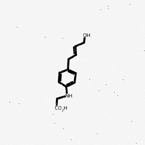 O=C(O)CNc1ccc(CC=CCO)cc1